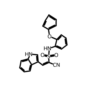 N#CC(=Cc1c[nH]c2ccccc12)S(=O)(=O)Nc1ccccc1Oc1ccccc1